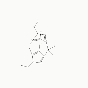 CCC1C=C2C(C)=[C]1[Ti+2][C]1=C(C)C(=CC1CC)C2(C)C.[Cl-].[Cl-]